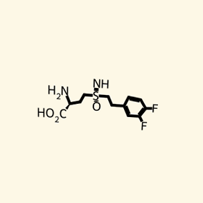 N=S(=O)(CCc1ccc(F)c(F)c1)CC[C@H](N)C(=O)O